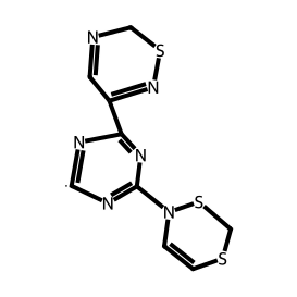 [c]1nc(C2=NSCN=C2)nc(N2C=CSCS2)n1